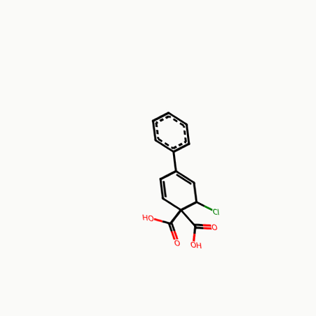 O=C(O)C1(C(=O)O)C=CC(c2ccccc2)=CC1Cl